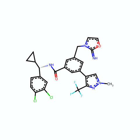 Cn1cc(-c2cc(Cn3ccoc3=N)cc(C(=O)N[C@H](c3ccc(Cl)c(Cl)c3)C3CC3)c2)c(C(F)(F)F)n1